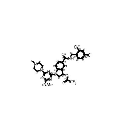 CNc1nc(N2CCN(C)CC2)nc(N2CC(OC(=O)C(F)(F)F)c3cc(C(=O)NCc4ccc(Cl)cc4Cl)ccc32)n1